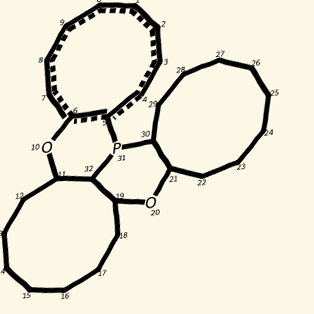 c1ccccc2c(ccc1)OC1CCCCCCCC3OC4CCCCCCCCC4P2C13